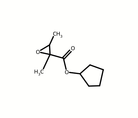 CC1OC1(C)C(=O)OC1CCCC1